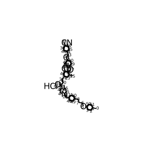 Cc1ccc(OCCCc2ccc(CN3CCN(C(=O)C=Cc4cc(C)c(Oc5ccc(OCc6ccc(C#N)cc6)cn5)c(Cl)c4)CC3)cc2)cc1.Cl